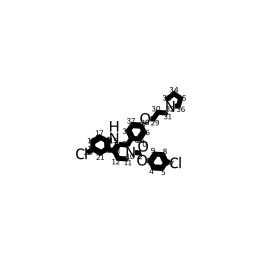 O=C(Oc1ccc(Cl)cc1)N1CCc2c([nH]c3ccc(Cl)cc23)C1c1ccc(OCCCN2CCCC2)cc1